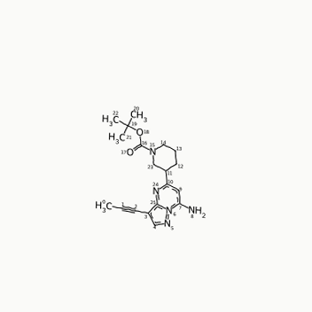 CC#Cc1cnn2c(N)cc(C3CCCN(C(=O)OC(C)(C)C)C3)nc12